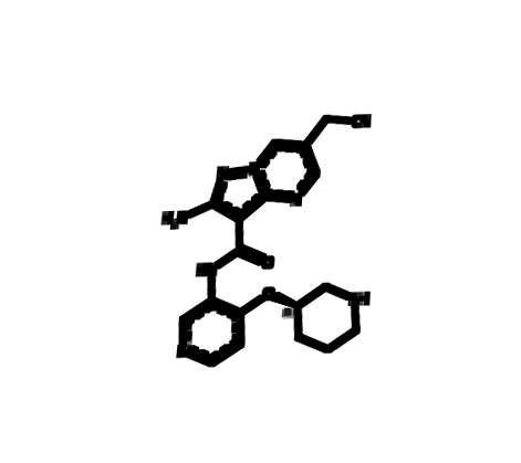 N#CCc1cnc2c(C(=O)Nc3cnccc3O[C@@H]3CCCNC3)c(N)nn2c1